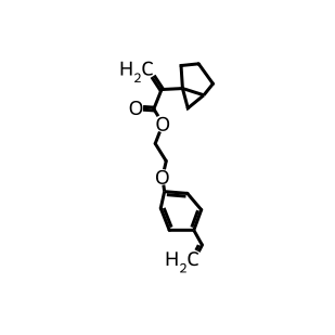 C=Cc1ccc(OCCOC(=O)C(=C)C23CCCC2C3)cc1